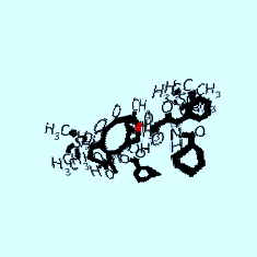 CC[Si](CC)(CC)OC1C[C@H]2OC[C@@]2(O)[C@H]2[C@H](OC(=O)c3ccccc3)[C@]3(O)C[C@H](OC(=O)C(O[Si](C)(C)C(C)(C)C)[C@@H](NC(=O)c4ccccc4)c4ccccc4)C(C)=C(C(=O)C(=O)[C@]12C)C3(C)C